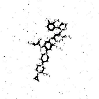 C=CC(=O)Nc1cc(NC(=N)/C=C(\NN)N2OCC[C@@H]2c2cccc(Cl)c2C)c(OC)cc1N1CCC(N2CCN(C3CC3)[C@H](C)C2)CC1